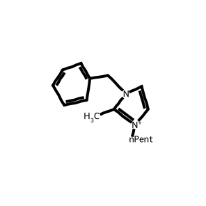 CCCCC[n+]1ccn(Cc2ccccc2)c1C